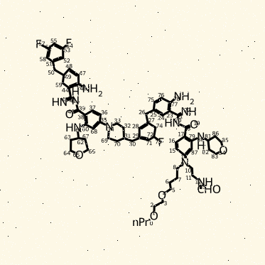 CCCOCCOCCCCN(CCNC=O)c1ccc(C(=O)NC(=N)c2cc(CC3=CC(CC4CCN(c5ccc(C(=O)NC(=N)C6=C(N)C=CC(Cc7cc(F)cc(F)c7)C6)c(NC6CCOCC6)c5)CC4)=CC(F)C3)ccc2N)c(NC2CCOCC2)c1